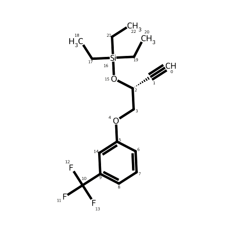 C#C[C@H](COc1cccc(C(F)(F)F)c1)O[Si](CC)(CC)CC